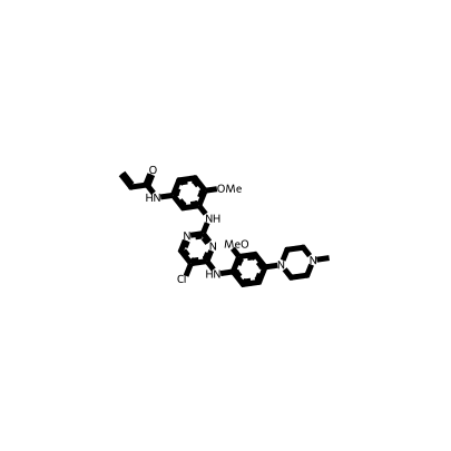 C=CC(=O)Nc1ccc(OC)c(Nc2ncc(Cl)c(Nc3ccc(N4CCN(C)CC4)cc3OC)n2)c1